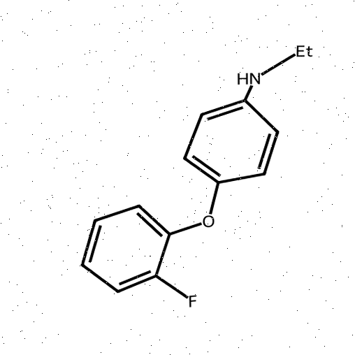 CCNc1ccc(Oc2ccccc2F)cc1